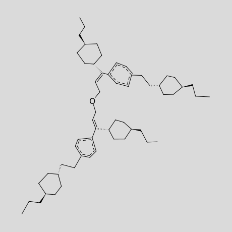 CCC[C@H]1CC[C@H](CCc2ccc(C(=CCOCC=C(c3ccc(CC[C@H]4CC[C@H](CCC)CC4)cc3)[C@H]3CC[C@H](CCC)CC3)[C@H]3CC[C@H](CCC)CC3)cc2)CC1